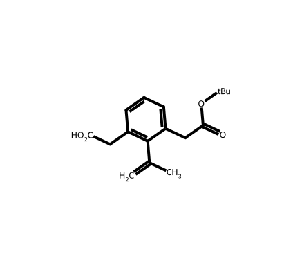 C=C(C)c1c(CC(=O)O)cccc1CC(=O)OC(C)(C)C